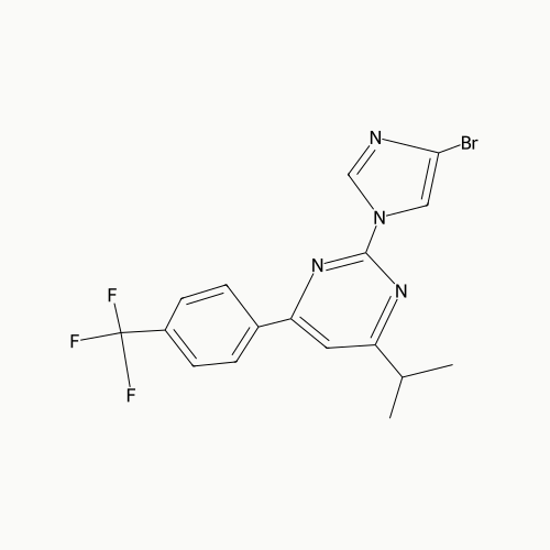 CC(C)c1cc(-c2ccc(C(F)(F)F)cc2)nc(-n2cnc(Br)c2)n1